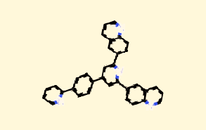 c1ccc(-c2ccc(-c3cc(-c4ccc5ncccc5c4)nc(-c4ccc5ncccc5c4)c3)cc2)nc1